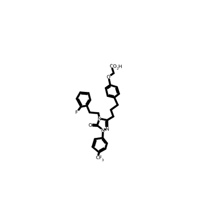 O=C(O)COc1ccc(CCCc2nn(-c3ccc(C(F)(F)F)cc3)c(=O)n2CCc2ccccc2F)cc1